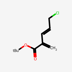 C=C(C=CCCl)C(=O)OC(C)(C)C